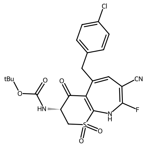 CC(C)(C)OC(=O)N[C@H]1CS(=O)(=O)C2=C(C1=O)C(Cc1ccc(Cl)cc1)=CC(C#N)=C(F)N2